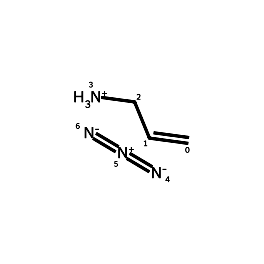 C=CC[NH3+].[N-]=[N+]=[N-]